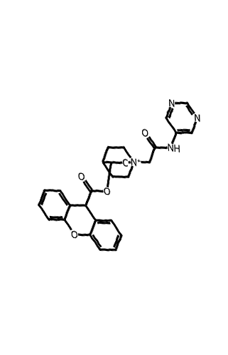 O=C(C[N+]12CCC(CC1)C(OC(=O)C1c3ccccc3Oc3ccccc31)C2)Nc1cncnc1